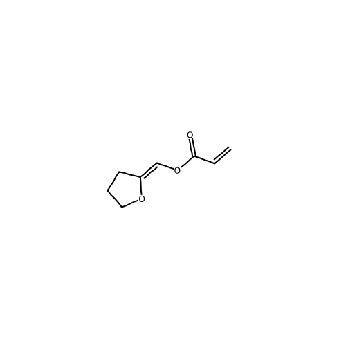 C=CC(=O)OC=C1CCCO1